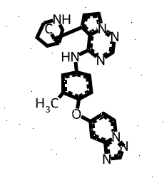 Cc1cc(Nc2ncnn3ccc(C4CC5CCC4CN5)c23)ccc1Oc1ccn2ncnc2c1